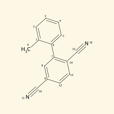 Cc1ccccc1-c1cc(C#N)ccc1C#N